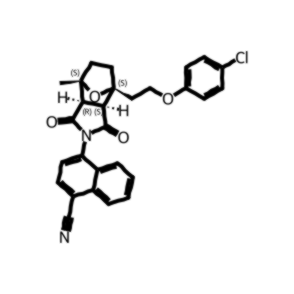 C[C@@]12CC[C@@](CCOc3ccc(Cl)cc3)(O1)[C@H]1C(=O)N(c3ccc(C#N)c4ccccc34)C(=O)[C@H]12